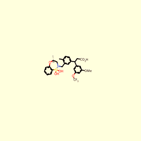 COc1cc(OC(F)(F)F)cc(C(CC(=O)O)c2ccc(C)c(CN3C[C@@H](C)Oc4ccccc4S3(O)O)c2)c1